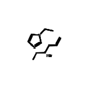 Br.C=CCCCC.CCn1ccnc1